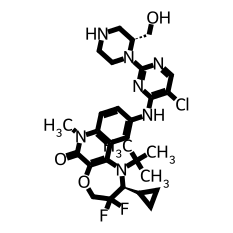 Cn1c(=O)c2c(c3cc(Nc4nc(N5CCNC[C@@H]5CO)ncc4Cl)ccc31)N(C(C)(C)C)[C@@H](C1CC1)C(F)(F)CO2